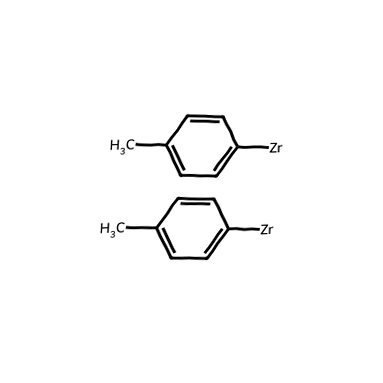 Cc1cc[c]([Zr])cc1.Cc1cc[c]([Zr])cc1